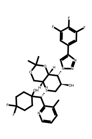 Cc1cccnc1[C@@H]([SH]1C[C@H](O)[C@@H](n2cc(-c3cc(F)c(F)c(F)c3)nn2)[C@H]2OC(C)(C)OC[C@H]21)C1(O)CCC(F)(F)CC1